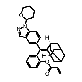 C=CC(=O)Oc1ccccc1C(c1ccc2c(cnn2C2CCCCO2)c1)=C1[C@H]2CC3CC(C2)C[C@@H]1C3